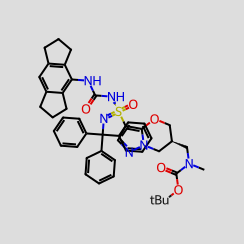 CN(C[C@@H]1COc2c([S@@](=O)(=NC(c3ccccc3)(c3ccccc3)c3ccccc3)NC(=O)Nc3c4c(cc5c3CCC5)CCC4)cnn2C1)C(=O)OC(C)(C)C